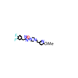 COc1ccc(CCN2CCN(c3nc(Cc4ccc(F)c(F)c4)no3)CC2)cn1